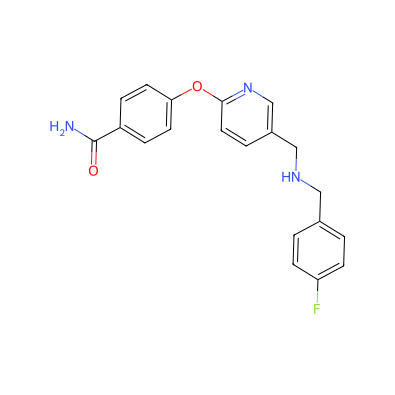 NC(=O)c1ccc(Oc2ccc(CNCc3ccc(F)cc3)cn2)cc1